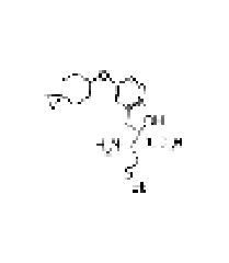 CCSCC(N)[C@](O)(Cc1cc(OC2CCC3(CC2)CC3)ccn1)C(=O)O